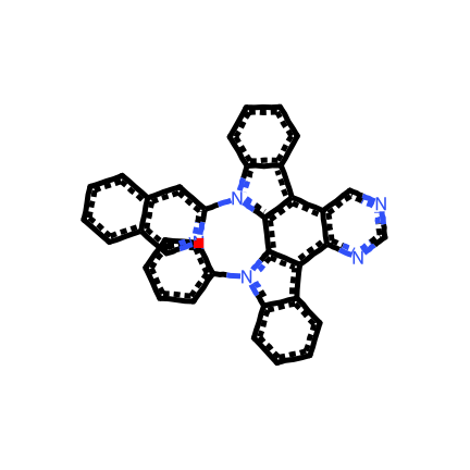 c1ccc(-n2c3ccccc3c3c4ncncc4c4c5ccccc5n(-c5cc6ccccc6cn5)c4c32)cc1